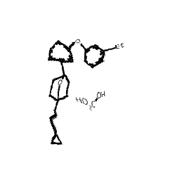 CCc1cccc(Oc2cccc(C34CCC(CCC5CC5)(CC3)CO4)c2)c1.O=C(O)O